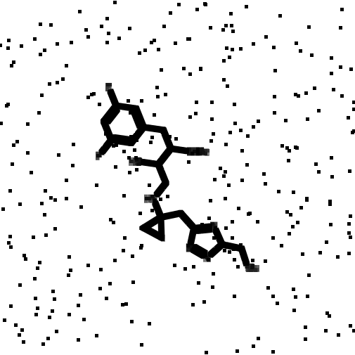 CC(=O)NC(Cc1cc(F)cc(F)c1)C(O)CNC1(CC2=NC(CC(C)(C)C)N=N2)CC1